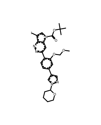 COCOc1cc(-c2cnn(C3CCCCO3)c2)ccc1-c1cc2c(nn1)c(I)cn2C(=O)OC(C)(C)C